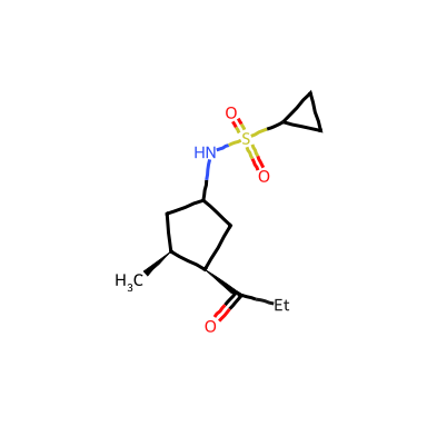 CCC(=O)[C@@H]1CC(NS(=O)(=O)C2CC2)C[C@@H]1C